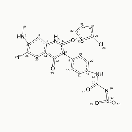 CNc1cc2[nH]c(=O)n(-c3ccc(NC(=O)N=S(=O)=O)cc3)c(=O)c2cc1F.Clc1cccs1